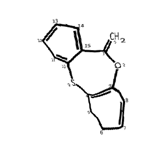 C=C1OC2=C(CCC=C2)Sc2ccccc21